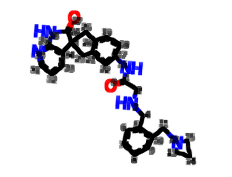 O=C(CNCc1ccccc1CN1CCC1)Nc1ccc2c(c1)CC1(C2)C(=O)Nc2ncccc21